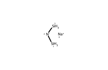 [Na+].[SiH3][N-][SiH3]